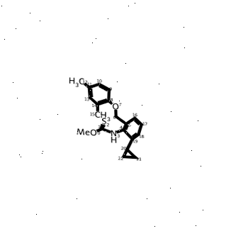 COC(=S)Nc1c(COc2ccc(C)cc2C)cccc1C1CC1